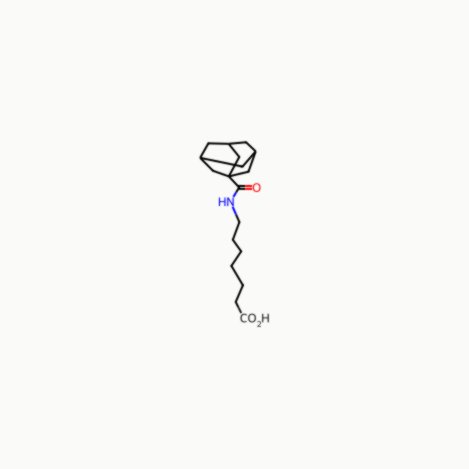 O=C(O)CCCCCCNC(=O)C12CC3CC(CC(C3)C1)C2